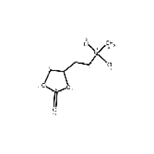 C[Si](Cl)(Cl)CCC1COC(=O)O1